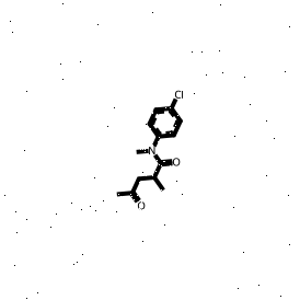 CC(=O)CC(C)C(=O)N(C)c1ccc(Cl)cc1